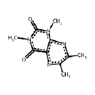 Cc1nc2c(=O)n(C)c(=O)n(C)c2nc1C